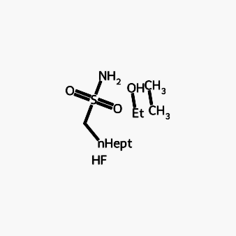 CC.CCCCCCCCS(N)(=O)=O.CCO.F